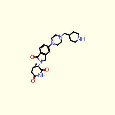 O=C1CC[C@@H](N2Cc3cc(N4CCN(CC5CCNCC5)CC4)ccc3C2=O)C(=O)N1